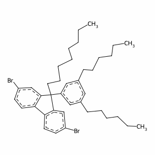 CCCCCCCCC1(c2cc(CCCCCC)cc(CCCCCC)c2)c2cc(Br)ccc2-c2ccc(Br)cc21